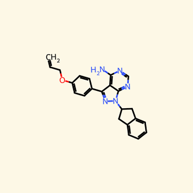 C=CCOc1ccc(-c2nn(C3Cc4ccccc4C3)c3ncnc(N)c23)cc1